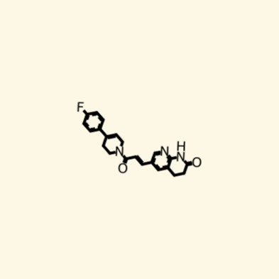 O=C1CCc2cc(/C=C/C(=O)N3CC=C(c4ccc(F)cc4)CC3)cnc2N1